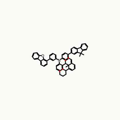 CC1(C)c2ccccc2-c2ccc(-c3ccc(N(c4cccc(-c5cccc6c5oc5ccccc56)c4)c4ccccc4C4C=CC=C5C=CC=C(C6CCCCC6)C54C)cc3)cc21